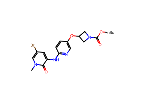 CCCCOC(=O)N1CC(Oc2ccc(Nc3cc(Br)cn(C)c3=O)nc2)C1